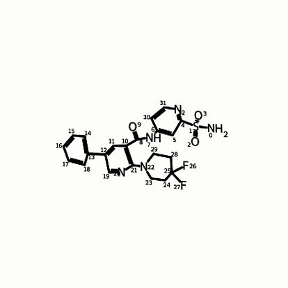 NS(=O)(=O)c1cc(NC(=O)c2cc(-c3ccccc3)cnc2N2CCC(F)(F)CC2)ccn1